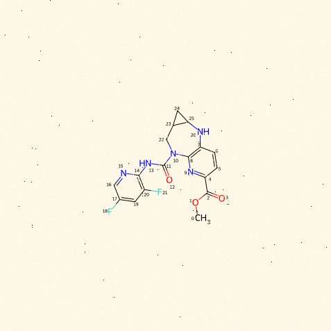 COC(=O)c1ccc2c(n1)N(C(=O)Nc1ncc(F)cc1F)CC1CC1N2